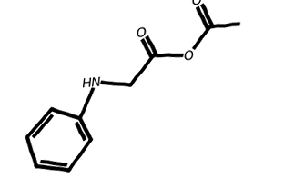 CC(=O)OC(=O)CNc1ccccc1